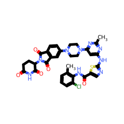 Cc1nc(Nc2ncc(C(=O)Nc3c(C)cccc3Cl)s2)cc(N2CCN(c3ccc4c(c3)C(=O)N(C3CCC(=O)NC3=O)C4=O)CC2)n1